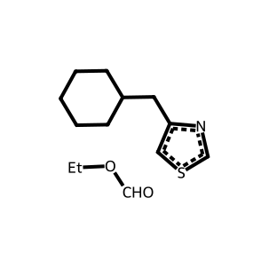 CCOC=O.c1nc(CC2CCCCC2)cs1